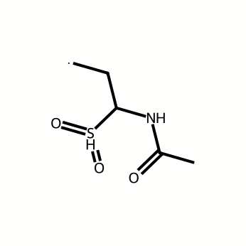 [CH2]CC(NC(C)=O)[SH](=O)=O